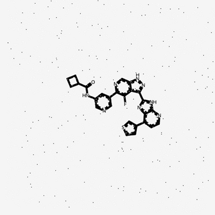 O=C(Nc1cncc(-c2ncc3[nH]nc(-c4nc5c(-c6ccsc6)ccnc5[nH]4)c3c2F)c1)C1CCC1